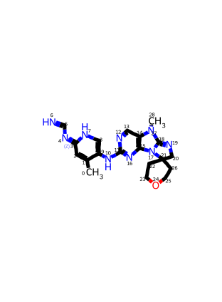 Cc1c/c(=N/C=N)[nH]cc1Nc1ncc2c(n1)N1C(=NCC13CCOCC3)N2C